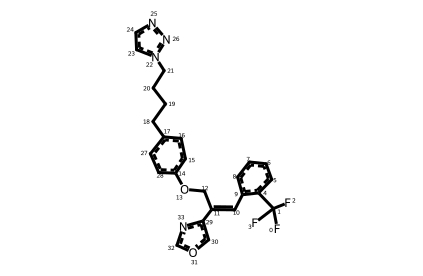 FC(F)(F)c1ccccc1C=C(COc1ccc(CCCCn2ccnn2)cc1)c1cocn1